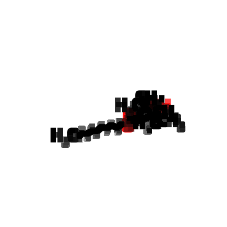 CCCCCCCCCCCOC(=O)Cc1cc(C(C)(C)C)c(O)c(C(C)(C)C)c1